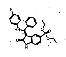 CCOP(=O)(OCC)c1ccc2c(c1)/C(=C(/Nc1ccc(F)cc1)c1ccccc1)C(=O)N2